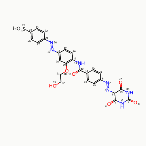 O=C1NC(=O)C(/N=N/c2ccc(C(=O)Nc3ccc(/N=N/c4ccc(S(=O)(=O)O)cc4)cc3OCCO)cc2)C(=O)N1